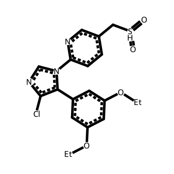 CCOc1cc(OCC)cc(-c2c(Cl)ncn2-c2ccc(C[SH](=O)=O)cn2)c1